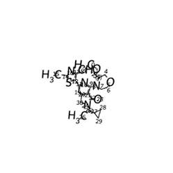 COC[C@H]1COCCN1c1nc(-c2sc(C)nc2C)cc2c1C(=O)N([C@@H](C)C1CC1)C2